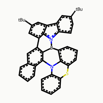 CC(C)(C)c1ccc2c(c1)c1cc(C(C)(C)C)cc3c1n2B1c2cccc4c2N(c2ccccc2S4)c2c1c-3cc1ccccc21